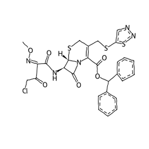 CO/N=C(/C(=O)CCl)C(=O)N[C@@H]1C(=O)N2C(C(=O)OC(c3ccccc3)c3ccccc3)=C(CSc3cnns3)CS[C@@H]12